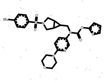 CC(C)(C)c1ccc(S(=O)(=O)N2CC3C(CN(C(=O)Oc4cccs4)c4ccc(N5CCOCC5)nc4)C3C2)cc1